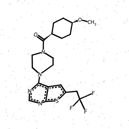 CO[C@H]1CC[C@@H](C(=O)N2CCN(c3ncnc4sc(CC(F)(F)F)cc34)CC2)CC1